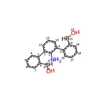 Nc1c(-c2ccccc2BO)cccc1-c1ccccc1BO